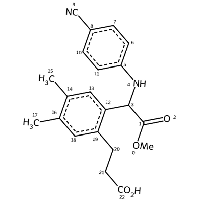 COC(=O)C(Nc1ccc(C#N)cc1)c1cc(C)c(C)cc1CCC(=O)O